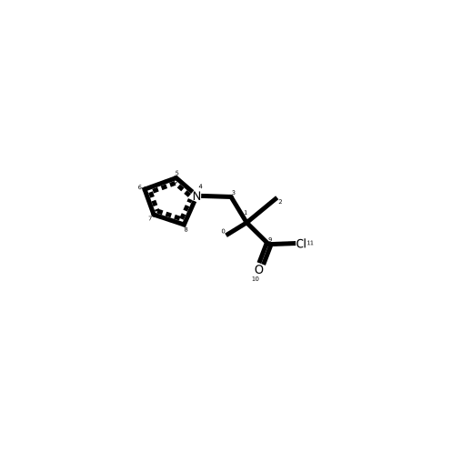 CC(C)(Cn1cccc1)C(=O)Cl